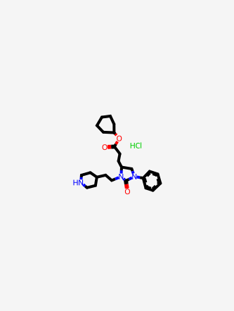 Cl.O=C(CCC1CN(c2ccccc2)C(=O)N1CCC1CCNCC1)OC1CCCCC1